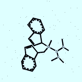 C[N](C)[Zr]([N](C)C)[Sn]([CH3])([CH2]C1C=Cc2ccccc21)[CH]1C=Cc2ccccc21